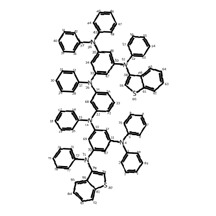 c1ccc(N(c2ccccc2)c2cc(N(c3ccccc3)c3cccc(N(c4ccccc4)c4cc(N(c5ccccc5)c5ccccc5)cc(N(c5ccccc5)c5csc6ccccc56)c4)c3)cc(N(c3ccccc3)c3csc4ccccc34)c2)cc1